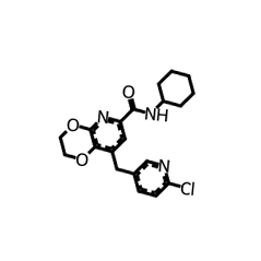 O=C(NC1CCCCC1)c1cc(Cc2ccc(Cl)nc2)c2c(n1)OCCO2